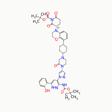 CC(C)(C)OC(=O)Nc1nnc(-c2ccccc2O)cc1-n1cc(N2CCN(C3CCC(c4cccc5c4OCCN5[C@H]4CCC(=O)N(C(=O)OC(C)(C)C)C4=O)CC3)CC2=O)cn1